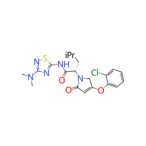 CC(C)C[C@@H](C(=O)Nc1nc(N(C)C)ns1)N1CC(Oc2ccccc2Cl)=CC1=O